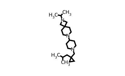 CC(C)CC1(CN2CCC(N3CCC4(CC3)CN(C(C)C)C4)CC2)CC1